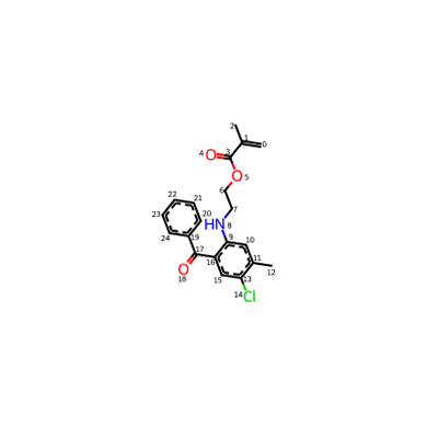 C=C(C)C(=O)OCCNc1cc(C)c(Cl)cc1C(=O)c1ccccc1